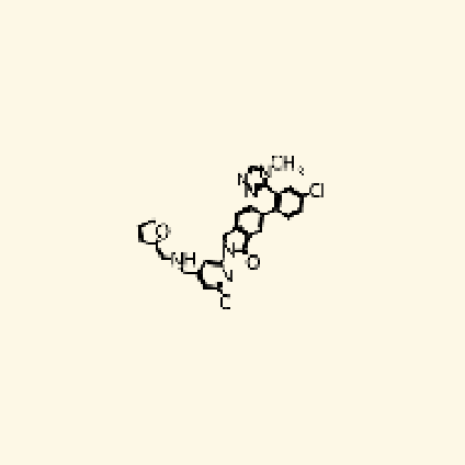 Cn1cnnc1-c1cc(Cl)ccc1-c1ccc2c(c1)C(=O)N(c1cc(CNCC3CCCO3)cc(Cl)n1)C2